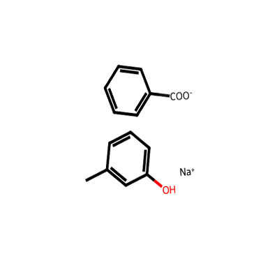 Cc1cccc(O)c1.O=C([O-])c1ccccc1.[Na+]